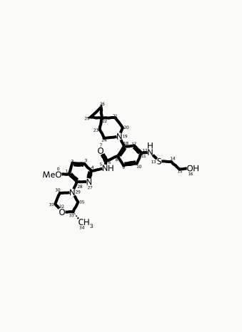 COc1ccc(NC(=O)c2ccc(NSCCO)cc2N2CCC3(CC2)CC3)nc1N1CCO[C@@H](C)C1